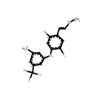 CO/C=C/c1cc(F)c(Oc2cc(C)cc(C(F)(F)F)c2)cc1F